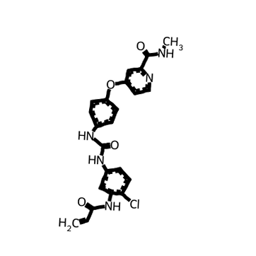 C=CC(=O)Nc1cc(NC(=O)Nc2ccc(Oc3ccnc(C(=O)NC)c3)cc2)ccc1Cl